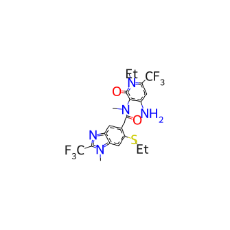 CCSc1cc2c(cc1C(=O)N(C)c1c(N)cc(C(F)(F)F)n(CC)c1=O)nc(C(F)(F)F)n2C